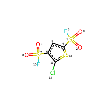 O=S(=O)(F)c1cc(S(=O)(=O)F)c(Cl)s1